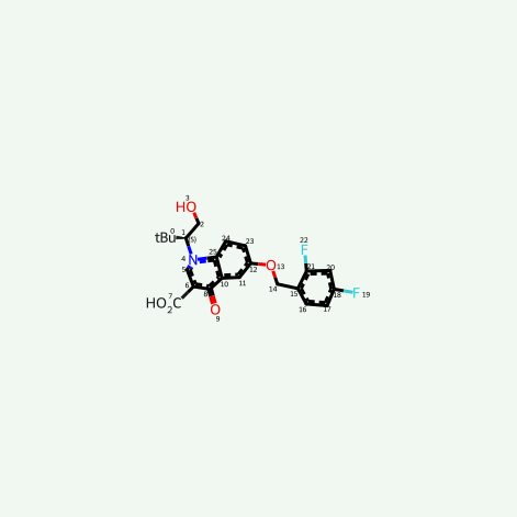 CC(C)(C)[C@@H](CO)n1cc(C(=O)O)c(=O)c2cc(OCc3ccc(F)cc3F)ccc21